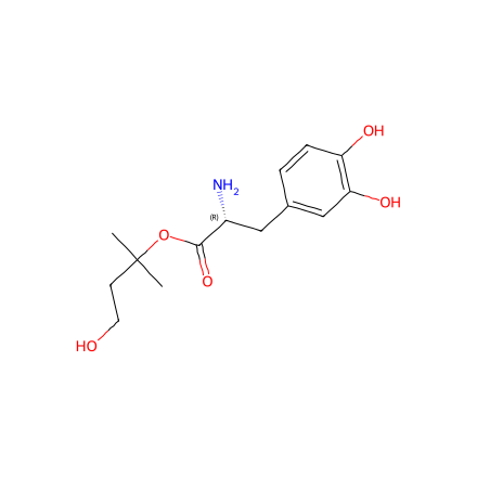 CC(C)(CCO)OC(=O)[C@H](N)Cc1ccc(O)c(O)c1